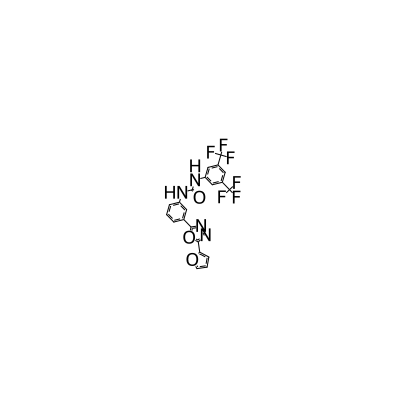 O=C(Nc1cccc(-c2nnc(-c3ccco3)o2)c1)Nc1cc(C(F)(F)F)cc(C(F)(F)F)c1